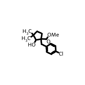 COC(=O)C1(Cc2ccc(Cl)cc2)CCC(C)(C)C1O